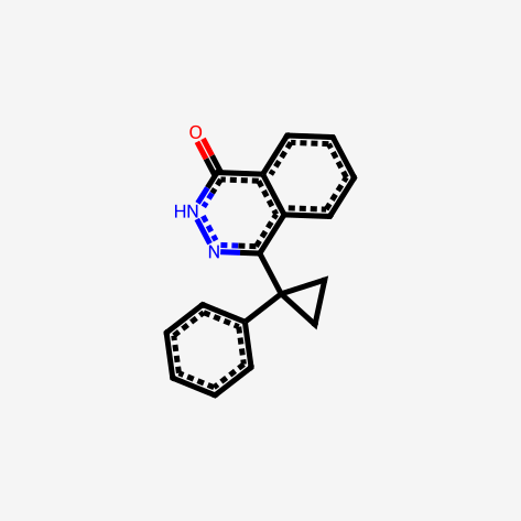 O=c1[nH]nc(C2(c3ccccc3)CC2)c2ccccc12